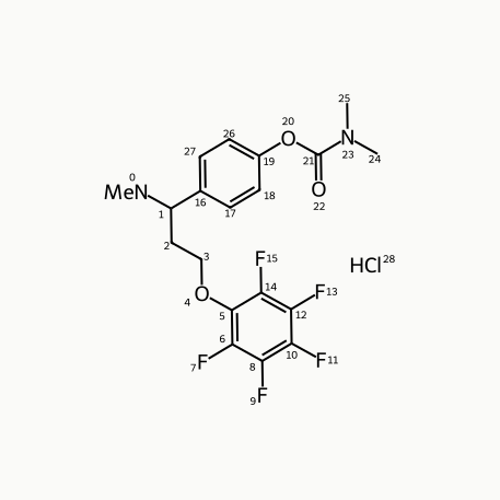 CNC(CCOc1c(F)c(F)c(F)c(F)c1F)c1ccc(OC(=O)N(C)C)cc1.Cl